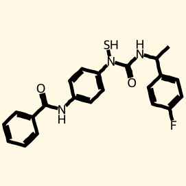 CC(NC(=O)N(S)c1ccc(NC(=O)c2ccccc2)cc1)c1ccc(F)cc1